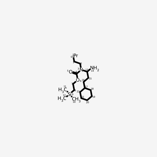 CC(C)CCN(C(=O)OCC[Si](C)(C)C)C(N)CCC1CCCCC1